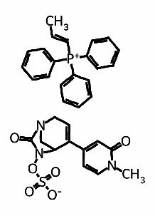 CC=C[P+](c1ccccc1)(c1ccccc1)c1ccccc1.Cn1ccc(C2=CCN3CC2N(OS(=O)(=O)[O-])C3=O)cc1=O